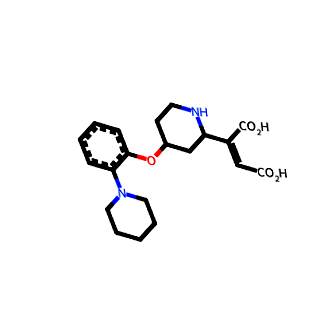 O=C(O)/C=C(\C(=O)O)C1CC(Oc2ccccc2N2CCCCC2)CCN1